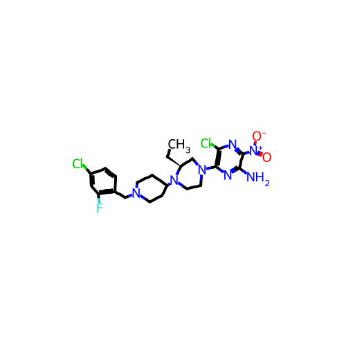 CC[C@H]1CN(c2nc(N)c([N+](=O)[O-])nc2Cl)CCN1C1CCN(Cc2ccc(Cl)cc2F)CC1